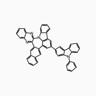 c1ccc(-n2c3ccccc3c3cc(-c4cc5c6c(c4)c4ccccc4n6-c4nc6ccccc6nc4-c4cc6ccccc6cc4-5)ccc32)cc1